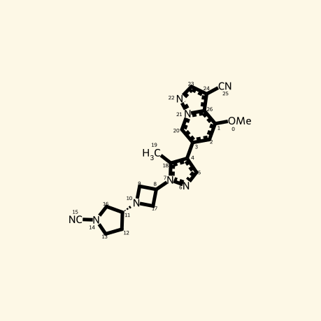 COc1cc(-c2cnn(C3CN([C@@H]4CCN(C#N)C4)C3)c2C)cn2ncc(C#N)c12